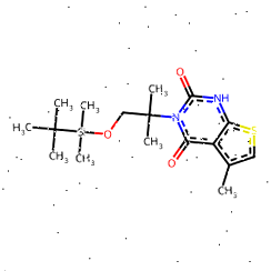 Cc1csc2[nH]c(=O)n(C(C)(C)CO[Si](C)(C)C(C)(C)C)c(=O)c12